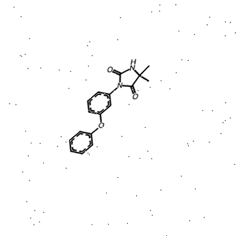 CC1(C)NC(=O)N(c2cccc(Oc3ccccc3)c2)C1=O